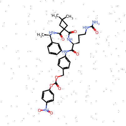 C[C@@H](NC(=O)C1(C(=O)N[C@@H](CCCNC(N)=O)C(=O)Nc2ccc(COC(=O)Oc3ccc([N+](=O)[O-])cc3)cc2)CC(C)(C)C1)c1ccccc1